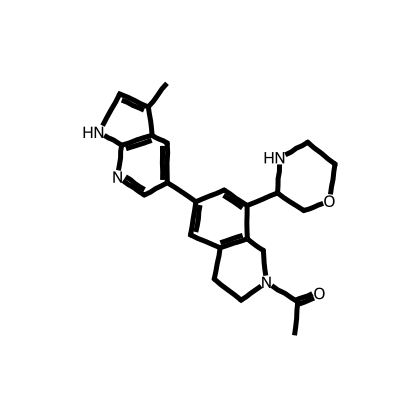 CC(=O)N1CCc2cc(-c3cnc4[nH]cc(C)c4c3)cc(C3COCCN3)c2C1